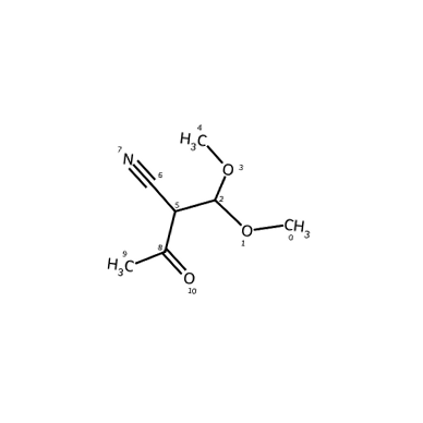 COC(OC)C(C#N)C(C)=O